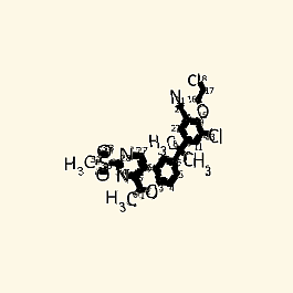 CC(Oc1ccc(C(C)(C)c2cc(Cl)c(OCCCl)c(C#N)c2)cc1)c1ccnc(S(C)(=O)=O)n1